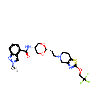 Cn1cc2c(C(=O)N[C@H]3CO[C@@H](CCN4CCc5sc(OCC(F)(F)F)nc5C4)OC3)cccc2n1